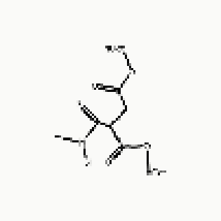 CCCCCCCCOC(=O)CC(C(=O)OCCCCCCCC)C(=S)N(C)S